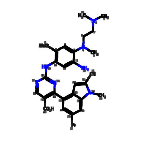 COc1cc(N(C)CCN(C)C)c(N)cc1Nc1ncc(C(=O)O)c(-c2cc(C(C)C)cc3c2cc(C#N)n3C)n1